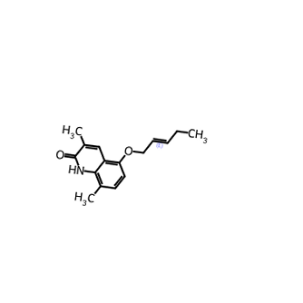 CC/C=C/COc1ccc(C)c2[nH]c(=O)c(C)cc12